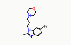 Cc1nc2ccc(C(C)C)cc2n1CCCN1CCOCC1